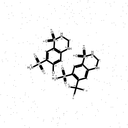 NS(=O)(=O)c1cc2c(cc1C(F)(F)F)NCNS2(=O)=O.NS(=O)(=O)c1cc2c(cc1Cl)NCNS2(=O)=O